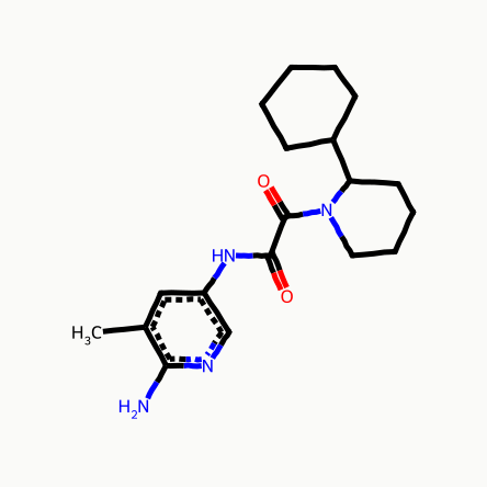 Cc1cc(NC(=O)C(=O)N2CCCCC2C2CCCCC2)cnc1N